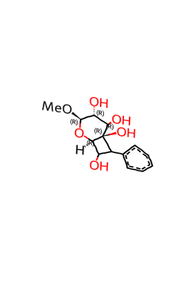 CO[C@@H]1O[C@@H]2C(O)C(c3ccccc3)[C@@]2(O)[C@H](O)[C@H]1O